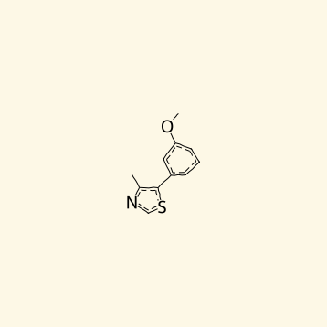 COc1cccc(-c2scnc2C)c1